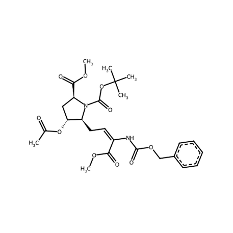 COC(=O)/C(=C\C[C@H]1[C@H](OC(C)=O)C[C@@H](C(=O)OC)N1C(=O)OC(C)(C)C)NC(=O)OCc1ccccc1